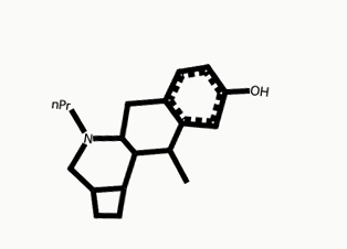 CCCN1CC2CCC2C2C(C)c3cc(O)ccc3CC21